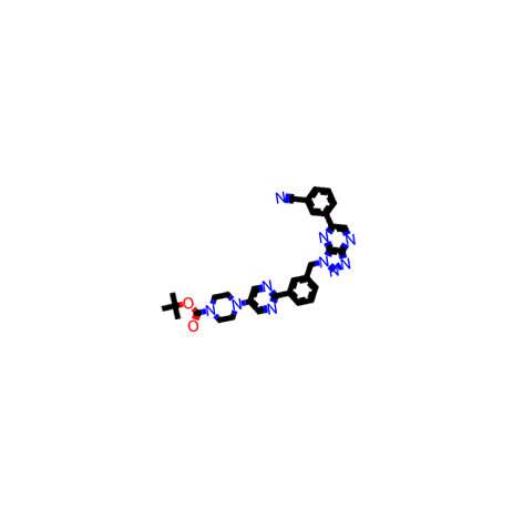 CC(C)(C)OC(=O)N1CCN(c2cnc(-c3cccc(Cn4nnc5ncc(-c6cccc(C#N)c6)nc54)c3)nc2)CC1